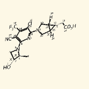 C[C@H]1[C@H](O)CN1c1nc(N2C[C@@H]3[C@H](CC(=O)O)[C@@H]3C2)c(Cl)c(C(F)(F)F)c1C#N